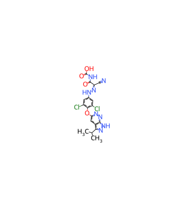 CC(C)c1n[nH]c2nnc(Oc3c(Cl)cc(NN=C(C#N)C(=O)NC(=O)O)cc3Cl)cc12